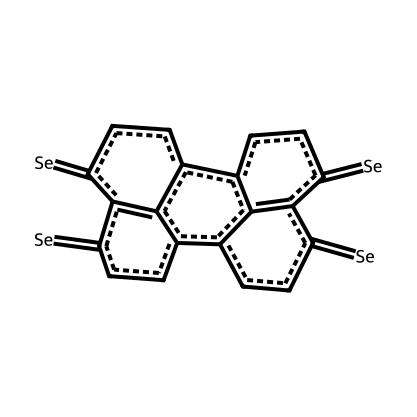 [Se]=c1ccc2c3c(ccc(=[Se])c1=3)c1ccc(=[Se])c3c(=[Se])ccc2c1=3